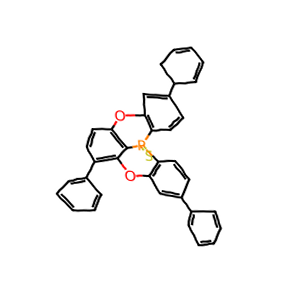 S=P12c3ccc(C4C=CC=CC4)cc3Oc3ccc(-c4ccccc4)c(c31)Oc1cc(-c3ccccc3)ccc12